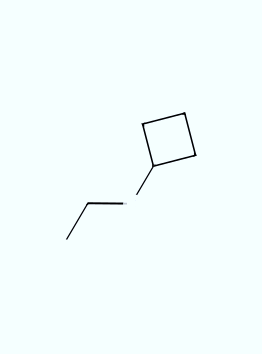 C[CH]OC1CCC1